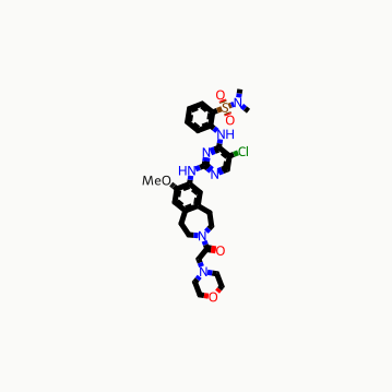 COc1cc2c(cc1Nc1ncc(Cl)c(Nc3ccccc3S(=O)(=O)N(C)C)n1)CCN(C(=O)CN1CCOCC1)CC2